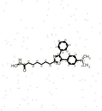 CN(C)c1ccc(-c2oc(CCCCCCC(=O)NO)nc2-c2ccccc2)cc1